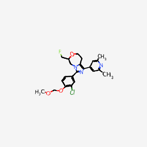 COCOc1ccc(-c2nc(-c3cc(C)nc(C)c3)c3n2CC(CF)OCC3)cc1Cl